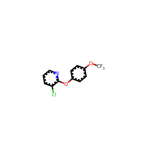 FC(F)(F)Oc1ccc(Oc2nc[c]cc2Cl)cc1